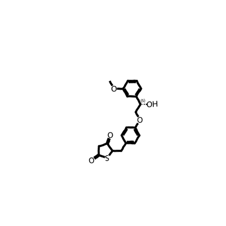 COc1cccc([C@H](O)COc2ccc(CC3SC(=O)CC3=O)cc2)c1